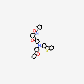 c1ccc(-c2nc3c(ccc4oc5cc(N(c6ccc7c(c6)oc6ccccc67)c6ccc7c(c6)sc6ccccc67)ccc5c43)o2)cc1